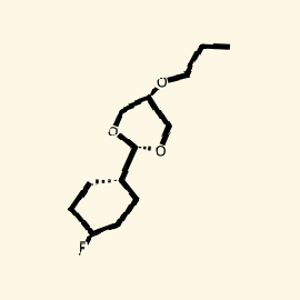 CCCO[C@H]1CO[C@H]([C@H]2CC[C@H](F)CC2)OC1